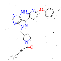 CC#CC(=O)N1CCC(Cn2nc(-c3ccc(Oc4ccccc4)nc3)c3c(N)ncnc32)C1